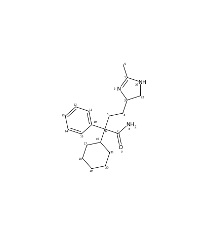 CC1=NC(CCC(C(N)=O)(c2ccccc2)C2CCCCC2)CN1